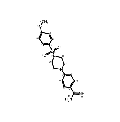 COc1ccc(S(=O)(=O)N2CCN(c3ccc(C(=N)N)cc3)CC2)cc1